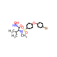 CC(C)C(C(=O)NO)N(C)S(=O)(=O)c1ccc(Oc2ccc(Br)cc2)cc1